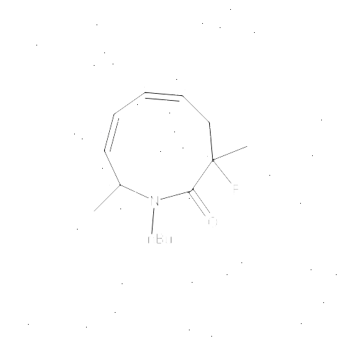 CCCCN1C(=O)C(C)(F)C/C=C\C=C/C1C